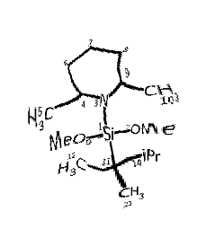 CO[Si](OC)(N1C(C)CCCC1C)C(C)(C)C(C)C